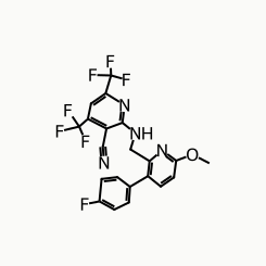 COc1ccc(-c2ccc(F)cc2)c(CNc2nc(C(F)(F)F)cc(C(F)(F)F)c2C#N)n1